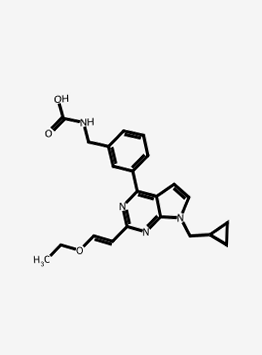 CCOC=Cc1nc(-c2cccc(CNC(=O)O)c2)c2ccn(CC3CC3)c2n1